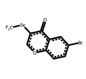 O=c1c([Se]C(F)(F)F)coc2ccc(Br)cc12